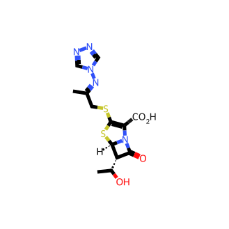 CC(CSC1=C(C(=O)O)N2C(=O)[C@H](C(C)O)[C@H]2S1)=Nn1cnnc1